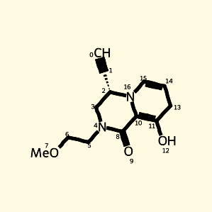 C#C[C@H]1CN(CCOC)C(=O)C2=C(O)CC=CN21